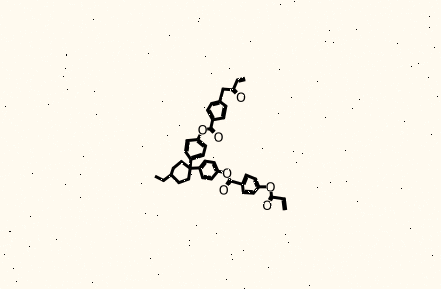 C=CC(=O)Cc1ccc(C(=O)Oc2ccc(C3(c4ccc(OC(=O)c5ccc(OC(=O)C=C)cc5)cc4)CCC(CC)CC3)cc2)cc1